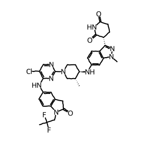 C[C@@H]1CN(c2ncc(Cl)c(Nc3ccc4c(c3)CC(=O)N4CC(C)(F)F)n2)CC[C@H]1Nc1ccc2c([C@H]3CCC(=O)NC3=O)nn(C)c2c1